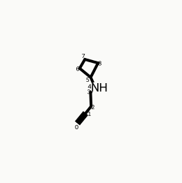 C#CCCNC1CCC1